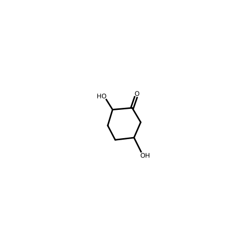 O=C1CC(O)CCC1O